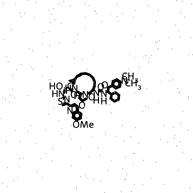 COc1ccc2c(O[C@@H]3C[C@H]4C(=O)N[C@]5(C(=O)O)CC5/C=C\CCCCC[C@H](NC(=O)N[C@H](C(=O)c5ccc(N(C)C)cc5)C5CCCCC5)C(=O)N4C3)cc(-c3csc(NC(C)C)n3)nc2c1